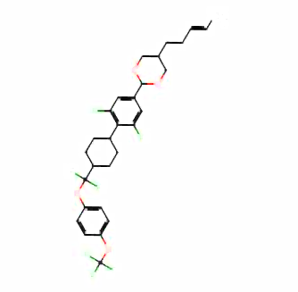 C/C=C/CCC1COC(c2cc(F)c(C3CCC(C(F)(F)Oc4ccc(OC(F)(F)F)cc4)CC3)c(F)c2)OC1